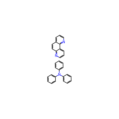 c1ccc(N(c2ccccc2)c2ccccc2)cc1.c1cnc2c(c1)ccc1ncccc12